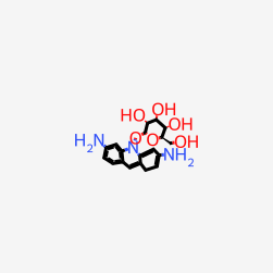 NC1=CCC2=Cc3ccc(N)cc3N(OC3O[C@H](CO)[C@@H](O)[C@H](O)[C@H]3O)C2=C1